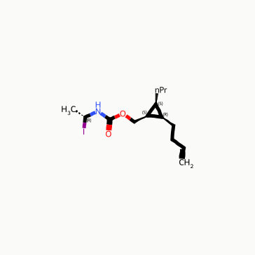 C=CCC[C@@H]1[C@H](CCC)[C@@H]1COC(=O)N[C@@H](C)I